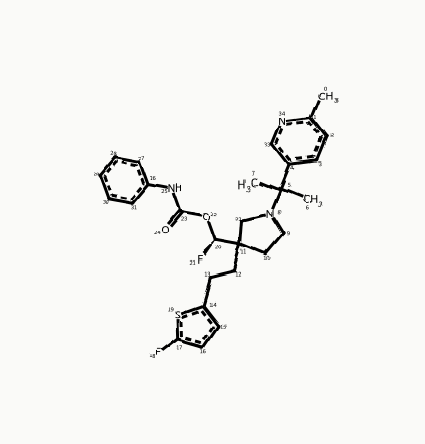 Cc1ccc(C(C)(C)N2CCC(CCc3ccc(F)s3)([C@@H](F)OC(=O)Nc3ccccc3)C2)cn1